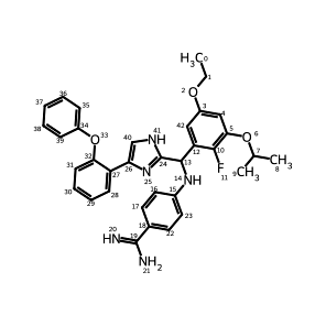 CCOc1cc(OC(C)C)c(F)c(C(Nc2ccc(C(=N)N)cc2)c2nc(-c3ccccc3Oc3ccccc3)c[nH]2)c1